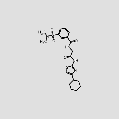 CN(C)S(=O)(=O)c1cccc(C(=O)NCC(=O)Nc2nc(C3CCCCC3)cs2)c1